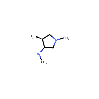 CN[C@@H]1CN(C)C[C@@H]1C